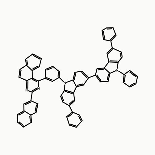 c1ccc(-c2ccc3c(c2)c2cc(-c4ccc5c(c4)c4cc(-c6ccccc6)ccc4n5-c4cccc(-c5nc(-c6ccc7ccccc7c6)nc6ccc7ccccc7c56)c4)ccc2n3-c2ccccc2)cc1